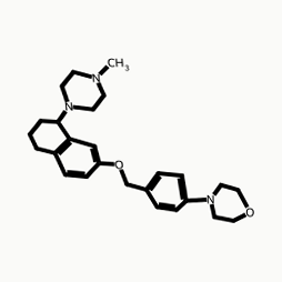 CN1CCN(C2CCCc3ccc(OCc4ccc(N5CCOCC5)cc4)cc32)CC1